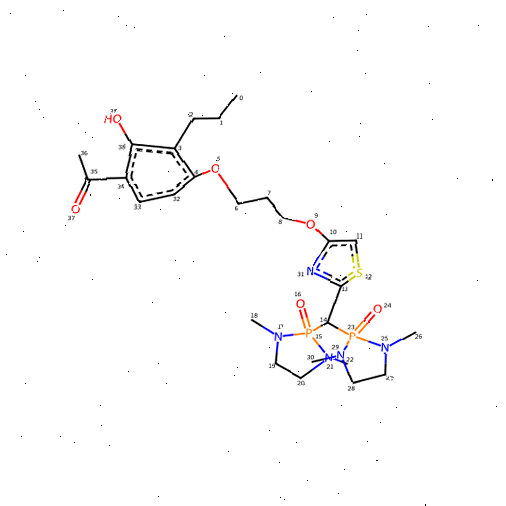 CCCc1c(OCCCOc2csc(C(P3(=O)N(C)CCN3C)P3(=O)N(C)CCN3C)n2)ccc(C(C)=O)c1O